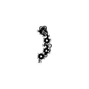 C[C@H]1CN(Cc2ccc(N(C)C(=O)c3ccc(Oc4cccc(F)c4)cn3)cc2)CC[N+]1(C(=O)[O-])C(C)(C)C